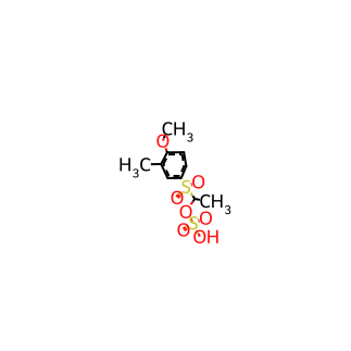 COc1ccc(S(=O)(=O)C(C)OS(=O)(=O)O)cc1C